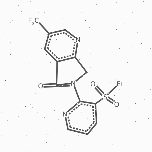 CCS(=O)(=O)c1cccnc1N1Cc2ncc(C(F)(F)F)cc2C1=O